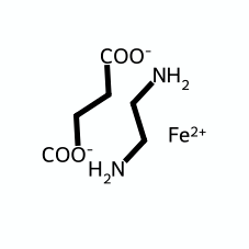 NCCN.O=C([O-])CCC(=O)[O-].[Fe+2]